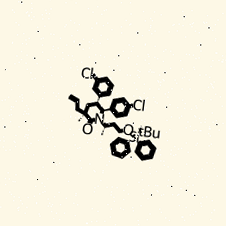 C=CC[C@@]1(C)C[C@H](c2cccc(Cl)c2)[C@@H](c2ccc(Cl)cc2)N([C@@H](C)CCO[Si](c2ccccc2)(c2ccccc2)C(C)(C)C)C1=O